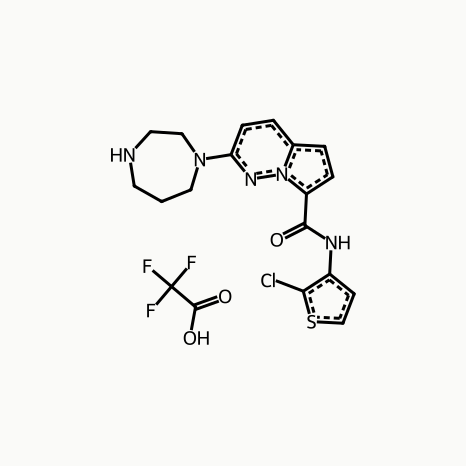 O=C(Nc1ccsc1Cl)c1ccc2ccc(N3CCCNCC3)nn12.O=C(O)C(F)(F)F